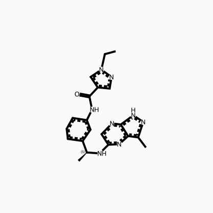 CCn1cc(C(=O)Nc2cccc([C@H](C)Nc3cnc4[nH]nc(C)c4n3)c2)cn1